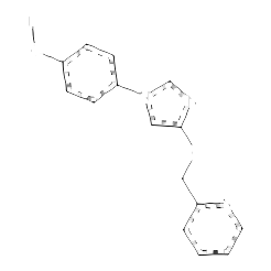 CCOc1ccc(-n2cnc(OCc3ccccn3)c2)cc1